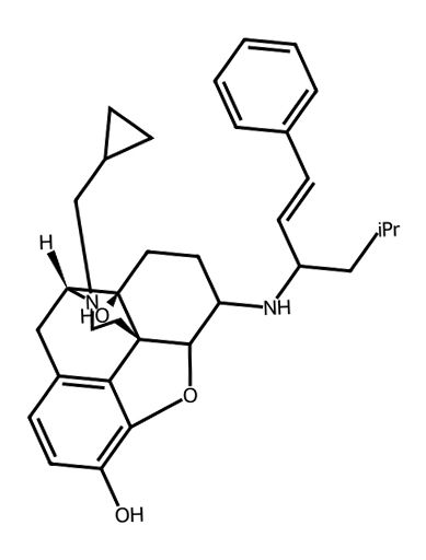 CC(C)CC(/C=C/c1ccccc1)NC1CC[C@@]2(O)[C@H]3Cc4ccc(O)c5c4[C@@]2(CCN3CC2CC2)C1O5